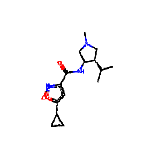 CC(C)[C@@H]1CN(C)C[C@@H]1NC(=O)c1cc(C2CC2)on1